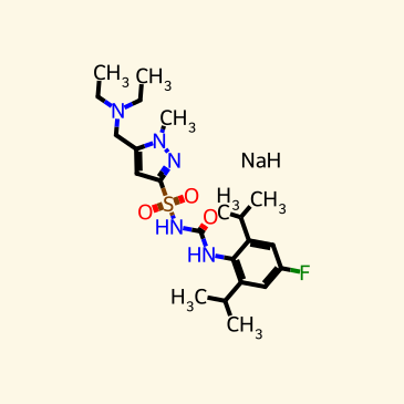 CCN(CC)Cc1cc(S(=O)(=O)NC(=O)Nc2c(C(C)C)cc(F)cc2C(C)C)nn1C.[NaH]